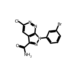 NC(=O)c1nn(-c2cccc(Br)c2)c2nnc(Cl)cc12